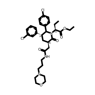 CCOC(=O)[C@H](CC)N1C(=O)[C@@H](CC(=O)NCCCN2CCOCC2)C[C@H](c2cccc(Cl)c2)C1c1ccc(Cl)cc1